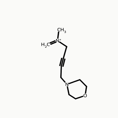 C=[N+](C)CC#CCN1CCOCC1